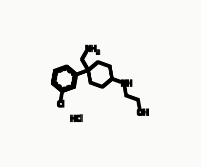 Cl.NCC1(c2cccc(Cl)c2)CCC(NCCO)CC1